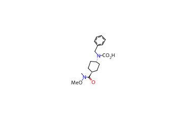 CON(C)C(=O)[C@H]1CC[C@H](N(Cc2ccccc2)C(=O)O)CC1